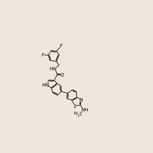 CNc1nc2ccc(-c3ccc4[nH]cc(C(=O)NCc5cc(F)cc(F)c5)c4c3)cc2s1